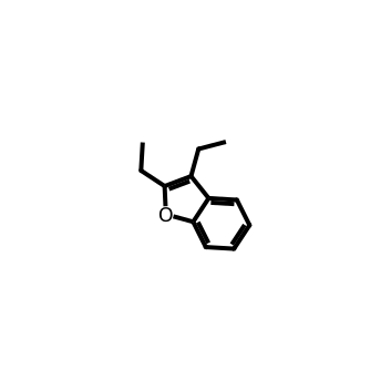 CCc1oc2ccccc2c1CC